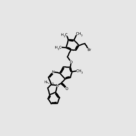 Cc1cc2c(cc1OCc1cc(CBr)c(C)c(C)c1C)N=C[C@@H]1Cc3ccccc3N1C2=O